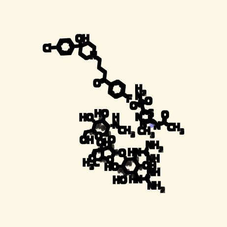 CC(=O)/N=c1\sc(S(N)(=O)=O)nn1C.CN[C@@H]1[C@H](O[C@H]2[C@H](O[C@H]3[C@H](O)[C@@H](O)[C@H](NC(=N)N)[C@@H](O)[C@@H]3NC(=N)N)O[C@@H](C)[C@]2(O)C=O)O[C@@H](CO)[C@H](O)[C@H]1O.O=C(CCCN1CCC(O)(c2ccc(Cl)cc2)CC1)c1ccc(F)cc1